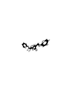 CC(C)(CSC1CCCCO1)C1CC(CSC2CCCCO2)C(=O)O1